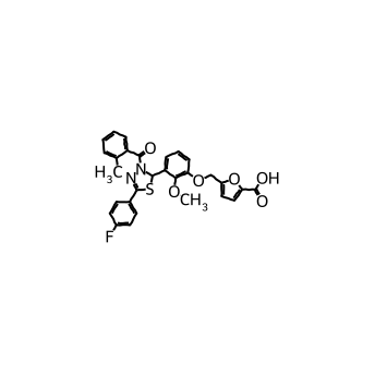 COc1c(OCc2ccc(C(=O)O)o2)cccc1C1SC(c2ccc(F)cc2)=NN1C(=O)c1ccccc1C